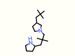 CC(C)(C)CC1CCN(CC(C)(C)CC2CCCN2)C1